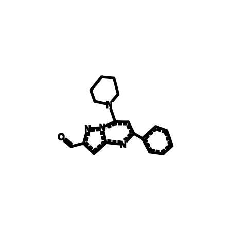 O=Cc1cc2nc(-c3ccccc3)cc(N3CCCCC3)n2n1